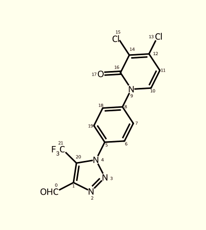 O=Cc1nnn(-c2ccc(-n3ccc(Cl)c(Cl)c3=O)cc2)c1C(F)(F)F